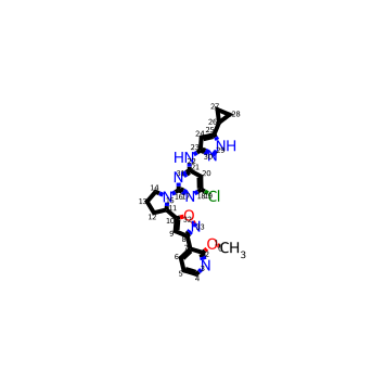 COc1ncccc1-c1cc(C2CCCN2c2nc(Cl)cc(Nc3cc(C4CC4)[nH]n3)n2)on1